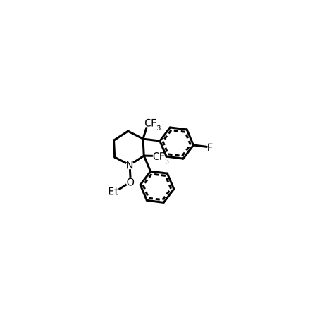 CCON1CCCC(c2ccc(F)cc2)(C(F)(F)F)C1(c1ccccc1)C(F)(F)F